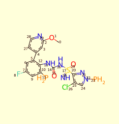 COc1cc(-c2cc(F)cc(P)c2NC(=O)NS(=N)(=O)c2nn(P)cc2Cl)ccn1